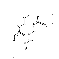 CCCCOC(=O)CC.CCOCCOC(C)=O